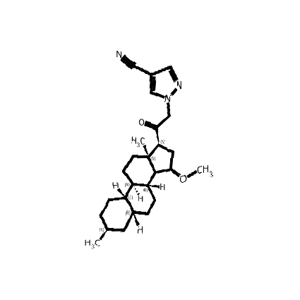 COC1C[C@H](C(=O)Cn2cc(C#N)cn2)[C@@]2(C)CC[C@@H]3[C@H]4CC[C@H](C)C[C@H]4CC[C@H]3C12